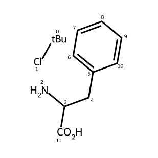 CC(C)(C)Cl.NC(Cc1ccccc1)C(=O)O